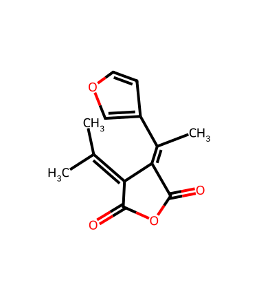 CC(C)=C1C(=O)OC(=O)/C1=C(\C)c1ccoc1